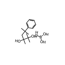 CC(C)(CC(C)(O)C(C)(C)O)c1ccccc1.OB(O)O